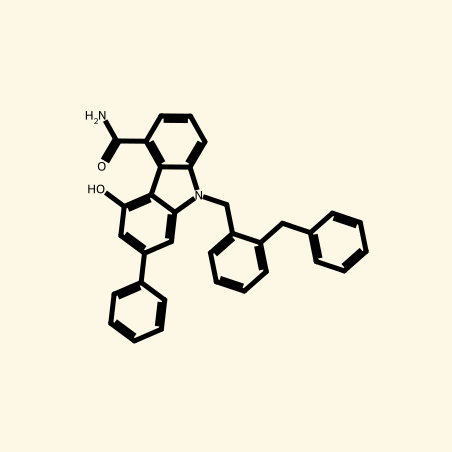 NC(=O)c1cccc2c1c1c(O)cc(-c3ccccc3)cc1n2Cc1ccccc1Cc1ccccc1